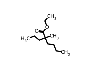 CCCCC(C)(CCC)C(=O)OCC